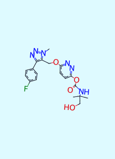 Cn1nnc(-c2ccc(F)cc2)c1COc1ccc(OC(=O)NC(C)(C)CO)nn1